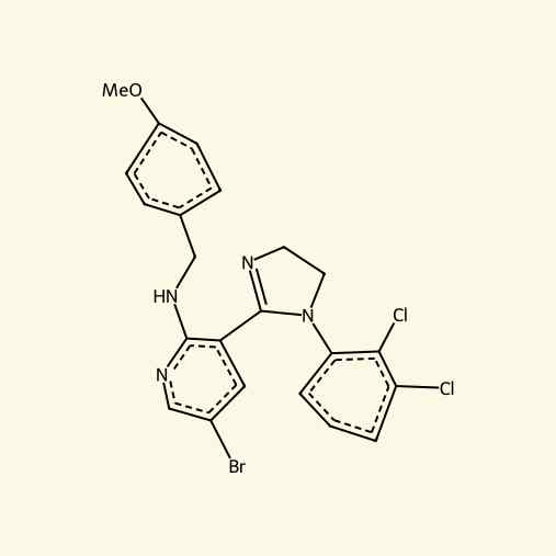 COc1ccc(CNc2ncc(Br)cc2C2=NCCN2c2cccc(Cl)c2Cl)cc1